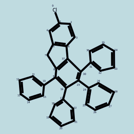 Clc1ccc2c(c1)Cc1c(-c3ccccc3)c(-c3ccccc3)c(-c3ccccc3)c(-c3ccccc3)c1-2